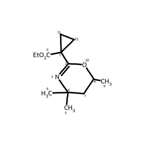 CCOC(=O)C1(C2=NC(C)(C)CC(C)O2)CC1